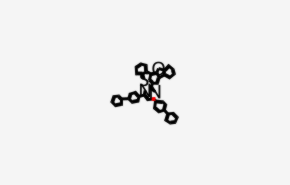 c1ccc(-c2ccc(-c3cc(-c4ccc(-c5ccccc5)cc4)nc(-c4cc5c6ccccc6oc5c5c4sc4ccccc45)n3)cc2)cc1